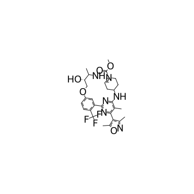 COC(=O)N1CCC(Nc2nc(-c3cc(OC[C@H](O)C(C)N)ccc3C(F)(F)F)nc(-c3c(C)noc3C)c2C)CC1